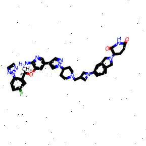 C[C@@H](Oc1cc(-c2cnn(C3CCN(CC4CN(c5ccc6c(c5)CN(C5CCC(=O)NC5=O)C6)C4)CC3)c2)cnc1N)c1cc(F)ccc1-n1nccn1